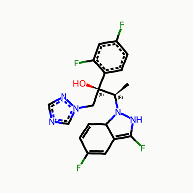 C[C@@H](N1NC(F)=C2C=C(F)C=CC21)[C@](O)(Cn1cncn1)c1ccc(F)cc1F